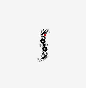 CCC(CC)(c1ccc(OS(=O)(=O)C(F)(F)C(F)(F)C(F)(F)C(F)(F)F)cc1)c1ccc(OS(=O)(=O)C(F)(F)C(F)(F)C(F)(F)C(F)(F)F)cc1